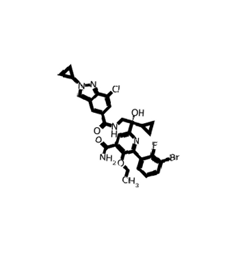 CCOc1c(C(N)=O)cc([C@@](O)(CNC(=O)c2cc(Cl)c3nn(C4CC4)cc3c2)C2CC2)nc1-c1cccc(Br)c1F